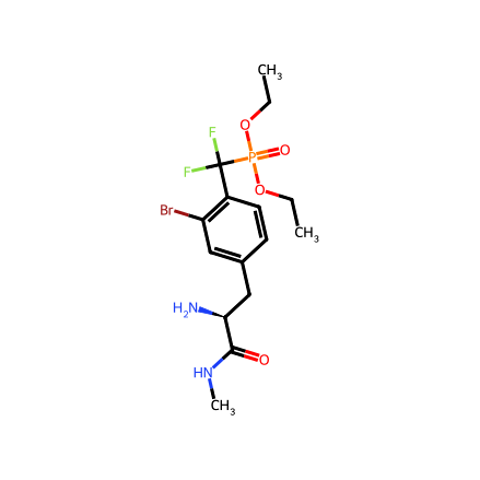 CCOP(=O)(OCC)C(F)(F)c1ccc(C[C@H](N)C(=O)NC)cc1Br